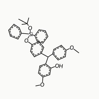 COc1ccc(C(c2ccc(O[Si](OC(C)(C)C)(c3ccccc3)c3ccccc3)cc2)c2ccc(OC)cc2O)cc1